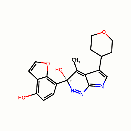 CC1=C2C(C3CCOCC3)=CN=C2N=N[C@@]1(O)c1ccc(O)c2ccoc12